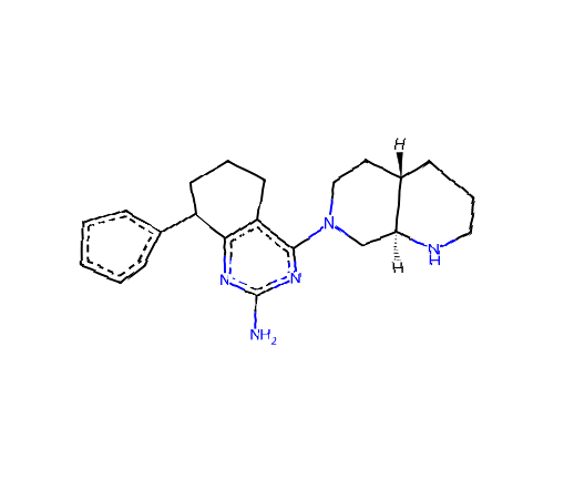 Nc1nc2c(c(N3CC[C@@H]4CCCN[C@H]4C3)n1)CCCC2c1ccccc1